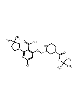 CC1(C)CCN(c2nc(Cl)cc(OC[C@H]3CN(C(=O)OC(C)(C)C)CCN3)c2C(=O)O)C1